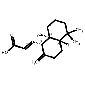 C=C1CC[C@H]2C(C)(C)CCC[C@]2(C)[C@H]1/C=C/C(=O)O